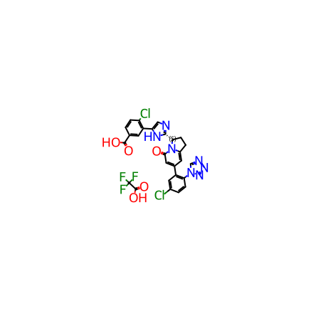 O=C(O)C(F)(F)F.O=C(O)c1ccc(Cl)c(-c2cnc([C@@H]3CCc4cc(-c5cc(Cl)ccc5-n5cnnn5)cc(=O)n43)[nH]2)c1